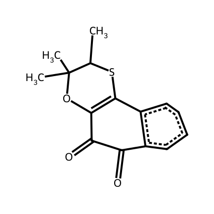 CC1SC2=C(OC1(C)C)C(=O)C(=O)c1ccccc12